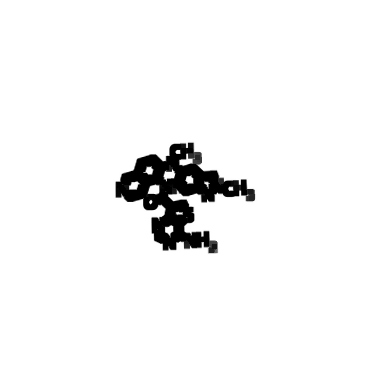 CN(c1ccc2nn(C)cc2c1)c1ccc2cnccc2c1NC(=O)c1csc2c(N)ncnc12